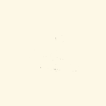 COC1=CC=CCC1C(C(=O)OCc1ccccc1)(C(=O)OCc1ccccc1)C(=O)OCc1ccccc1